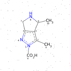 Cc1c2c(nn1C(=O)O)CNC2C